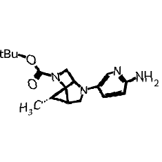 C[C@H]1C2CN(c3ccc(N)nc3)C3CN(C(=O)OC(C)(C)C)C231